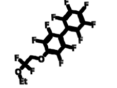 CCOC(F)(F)COc1c(F)c(F)c(-c2c(F)c(F)c(F)c(F)c2F)c(F)c1F